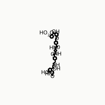 O=C(NC1CC(NC(=O)c2ccc(COc3cccc(C(O)(C(=O)O)c4ccccc4)c3)cc2)C1)c1ccc(CCNCC(O)c2ccc(O)c3[nH]c(=O)ccc23)cc1